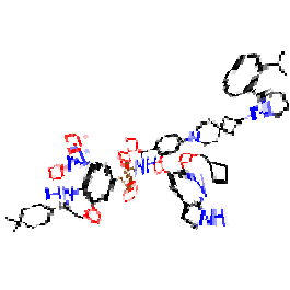 CC(C)c1ccccc1[C@H]1CCCN1C1CC2(CCN(c3ccc(C(=O)NS(=O)(=O)c4cc5c(c([N+](=O)[O-])c4)N[C@@H](C4CCC(C)(C)CC4)CO5)c(Oc4cc5cc[nH]c5nc4OCC4CCC4)c3)CC2)C1